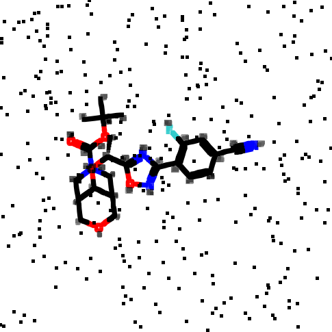 C[C@@H](OC1C2COCC1CN(C(=O)OC(C)(C)C)C2)c1nc(-c2ccc(C#N)cc2F)no1